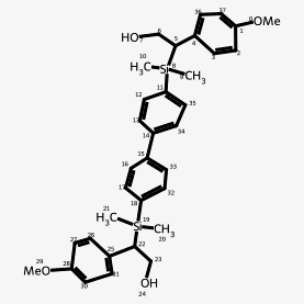 COc1ccc(C(CO)[Si](C)(C)c2ccc(-c3ccc([Si](C)(C)C(CO)c4ccc(OC)cc4)cc3)cc2)cc1